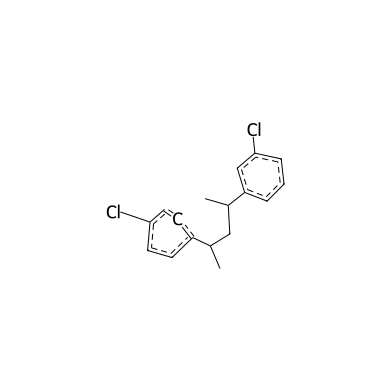 CC(CC(C)c1cccc(Cl)c1)c1ccc(Cl)cc1